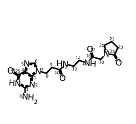 Nc1nc2c(ncn2CCC(=O)NCCNC(=O)CN2CCCC2=O)c(=O)[nH]1